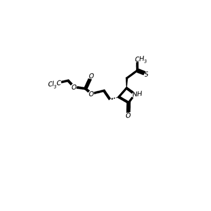 CC(=S)C[C@H]1NC(=O)[C@@H]1CCOC(=O)OCC(Cl)(Cl)Cl